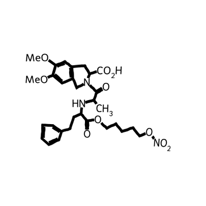 COc1cc2c(cc1OC)CN(C(=O)C(C)NC(CCc1ccccc1)C(=O)OCCCCCO[N+](=O)[O-])C(C(=O)O)C2